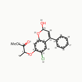 COC(=O)C(C)Oc1cc2c(cc1Cl)C(c1ccccc1)=CC(O)O2